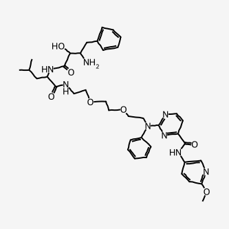 COc1ccc(NC(=O)c2ccnc(N(CCOCCOCCNC(=O)C(CC(C)C)NC(=O)C(O)C(N)Cc3ccccc3)c3ccccc3)n2)cn1